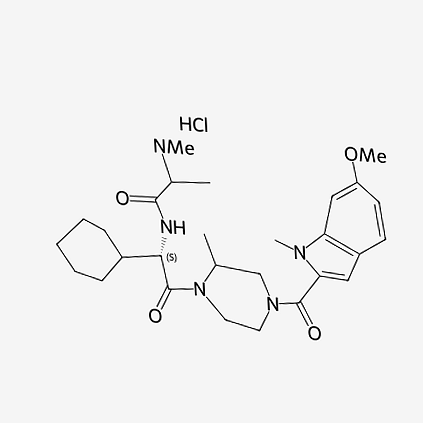 CNC(C)C(=O)N[C@H](C(=O)N1CCN(C(=O)c2cc3ccc(OC)cc3n2C)CC1C)C1CCCCC1.Cl